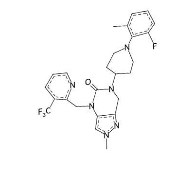 Cc1cccc(F)c1N1CCC(N2Cc3nn(C)cc3N(Cc3ncccc3C(F)(F)F)C2=O)CC1